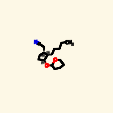 CCCCC[C@H]1[C@@H](CC#N)CC[C@H]1OC1CCCCO1